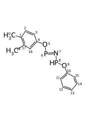 Cc1ccc(OP=NPOc2ccccc2)cc1C